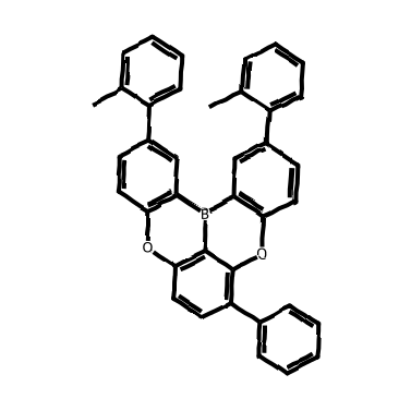 Cc1ccccc1-c1ccc2c(c1)B1c3cc(-c4ccccc4C)ccc3Oc3c(-c4ccccc4)ccc(c31)O2